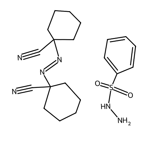 N#CC1(N=NC2(C#N)CCCCC2)CCCCC1.NNS(=O)(=O)c1ccccc1